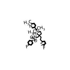 Cc1ccc(C(C)(C)N2CCC(CCc3ccc(F)s3)(CNS(=O)(=O)c3ccc(F)cc3)C2)cn1